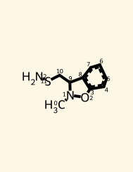 CN1Oc2ccccc2C1CSN